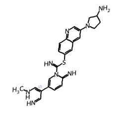 CN/C=C(\C=N)c1ccc(=N)n(C(=N)Sc2ccc3ncc(N4CCC(N)C4)cc3c2)c1